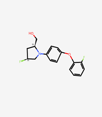 OC[C@@H]1C[C@H](F)CN1c1ccc(Oc2ccccc2F)cc1